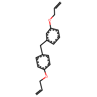 C=CCOc1ccc(Cc2cccc(OCC=C)c2)cc1